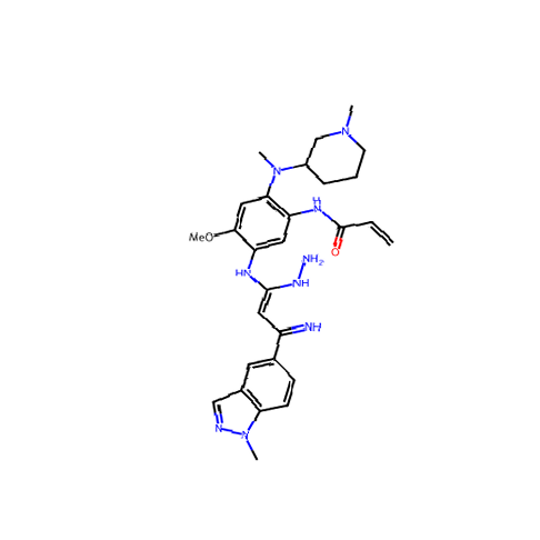 C=CC(=O)Nc1cc(N/C(=C/C(=N)c2ccc3c(cnn3C)c2)NN)c(OC)cc1N(C)C1CCCN(C)C1